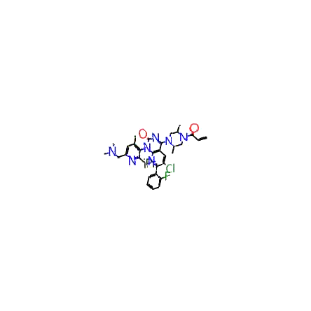 C=CC(=O)N1CC(C)N(c2nc(=O)n(-c3c(C)cc(CN(C)C)nc3C(C)C)c3nc(-c4ccccc4F)c(Cl)cc23)CC1C